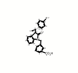 O=C(O)c1cccc(CN2C(=O)[C@@]3(C[C@@H]3c3ccc(F)cc3)c3ccccc32)c1